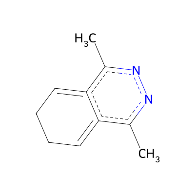 Cc1nnc(C)c2c1=CCCC=2